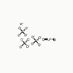 [H+].[O-][I+3]([O-])([O-])[O-].[O-][I+3]([O-])([O-])[O-].[O-][I+3]([O-])([O-])[O-].[O]=[U+2]=[O]